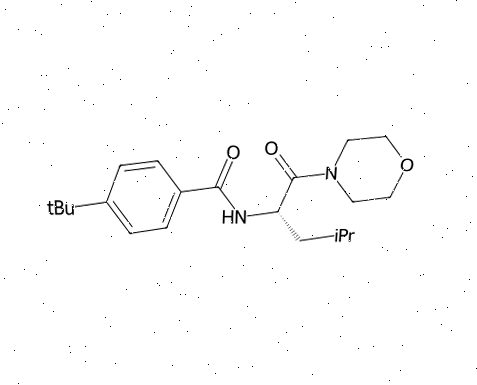 CC(C)C[C@H](NC(=O)c1ccc(C(C)(C)C)cc1)C(=O)N1CCOCC1